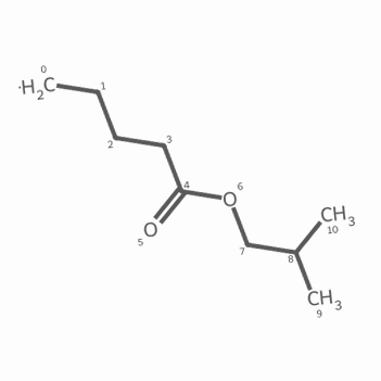 [CH2]CCCC(=O)OCC(C)C